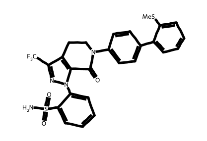 CSc1ccccc1-c1ccc(N2CCc3c(C(F)(F)F)nn(-c4ccccc4S(N)(=O)=O)c3C2=O)cc1